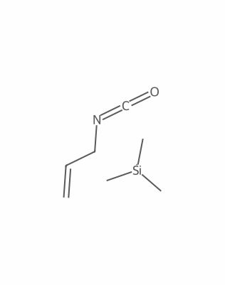 C=CCN=C=O.C[Si](C)C